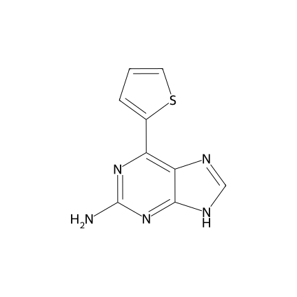 Nc1nc(-c2cccs2)c2nc[nH]c2n1